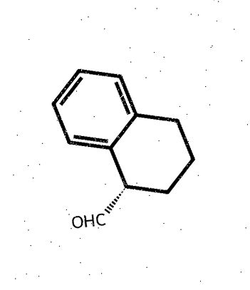 O=C[C@H]1CCCc2ccccc21